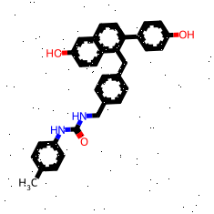 Cc1ccc(NC(=O)NCc2ccc(Cc3c(-c4ccc(O)cc4)ccc4cc(O)ccc34)cc2)cc1